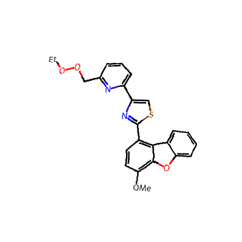 CCOOCc1cccc(-c2csc(-c3ccc(OC)c4oc5ccccc5c34)n2)n1